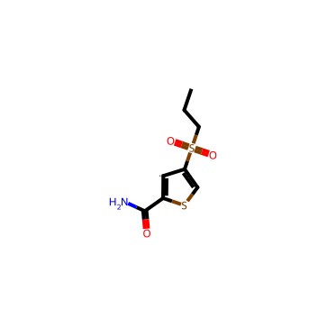 CCCS(=O)(=O)c1[c]c(C(N)=O)sc1